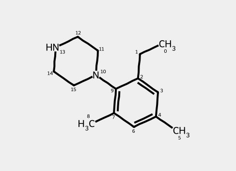 CCc1cc(C)cc(C)c1N1CCNCC1